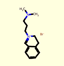 CN(C)CCC[N+]1=Cc2ccccc2CC1.[Br-]